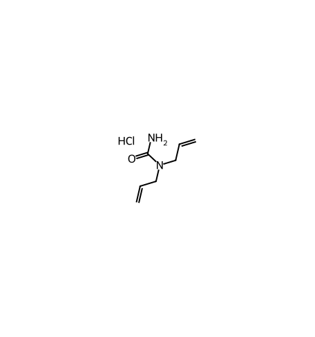 C=CCN(CC=C)C(N)=O.Cl